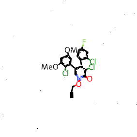 C#CCOn1cc(-c2cc(OC)cc(OC)c2Cl)c(-c2ccc(F)cc2Cl)c(Cl)c1=O